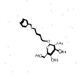 OC[C@H]1O[C@H](OCCCCSCc2ccccc2)[C@H](O)[C@@H](O)[C@@H]1O